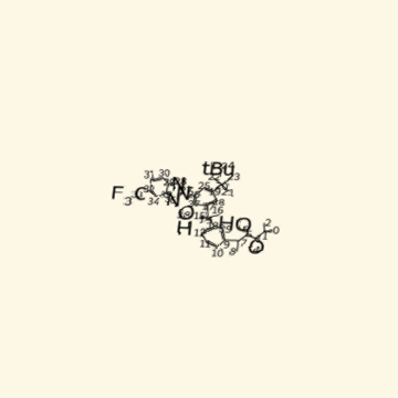 C=C(C)C(=O)C(O)C(C)c1cccc(C(C)(C)c2cc(C(C)(C)CC(C)(C)C)cc(-n3nc4ccc(C(F)(F)F)cc4n3)c2O)c1